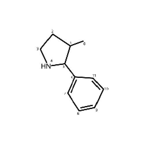 CC1CCNC1c1ccccc1